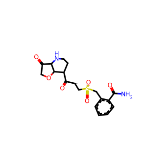 NC(=O)c1ccccc1CS(=O)(=O)C[CH]C(=O)C1CCNC2C(=O)COC12